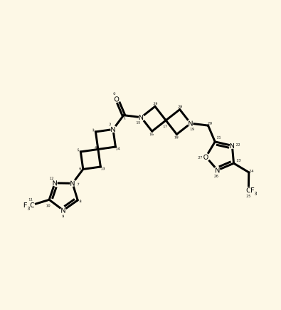 O=C(N1CC2(CC(n3cnc(C(F)(F)F)n3)C2)C1)N1CC2(CN(Cc3nc(CC(F)(F)F)no3)C2)C1